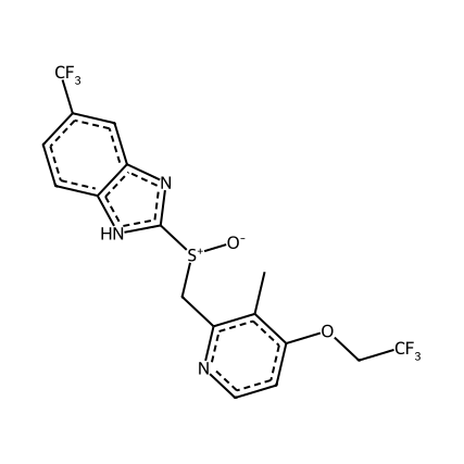 Cc1c(OCC(F)(F)F)ccnc1C[S+]([O-])c1nc2cc(C(F)(F)F)ccc2[nH]1